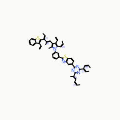 C=Cc1c(/C=C(C)/C(=C/C)c2sc3ccccc3c2C=C)c(C)n(-c2cccc(-c3nc4cc(-c5nc(/C(C)=C/C=C\C)nc(C(/C=C\C)=C/C)n5)ccc4s3)c2)c1/C=C\C